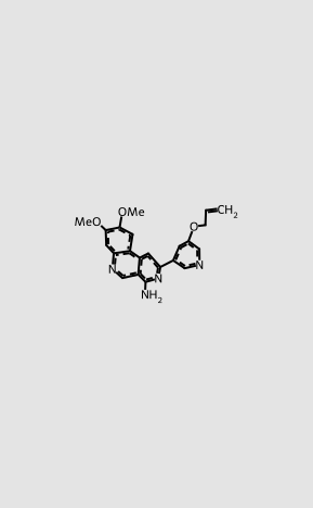 C=CCOc1cncc(-c2cc3c(cnc4cc(OC)c(OC)cc43)c(N)n2)c1